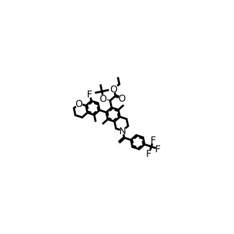 C=C(c1ccc(C(F)(F)F)cc1)N1CCc2c(C)c([C@H](OC(C)(C)C)C(=O)OCC)c(-c3cc(F)c4c(c3C)CCCO4)c(C)c2C1